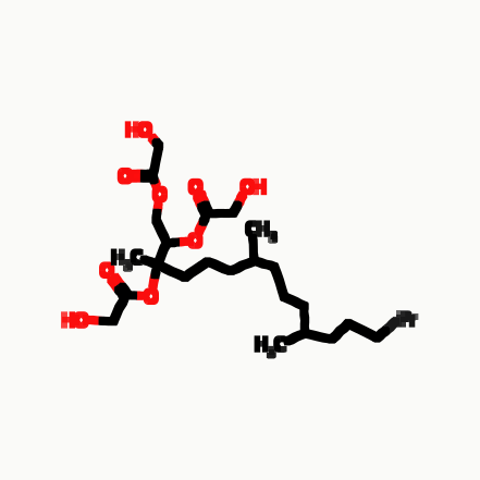 CC(C)CCCC(C)CCCC(C)CCCC(C)(OC(=O)CO)C(COC(=O)CO)OC(=O)CO